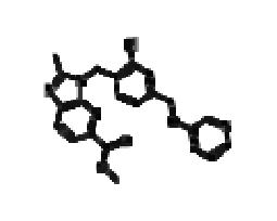 COC(=O)c1ccc2nc(C)n(Cc3ccc(COc4cccnc4)cc3Cl)c2n1